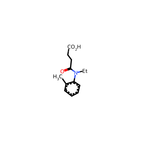 CCN(C(=O)CCC(=O)O)c1ccccc1C